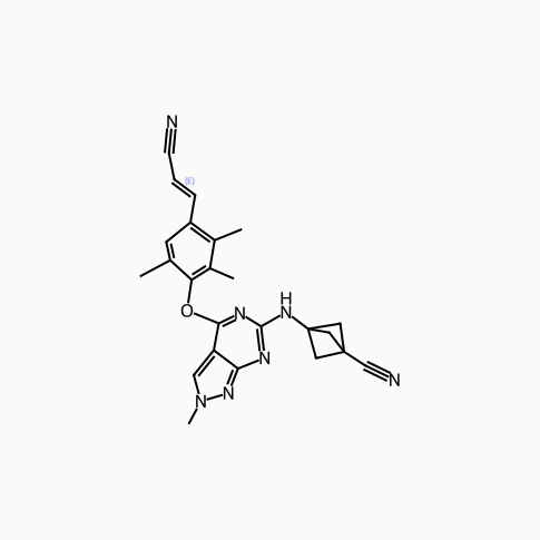 Cc1cc(/C=C/C#N)c(C)c(C)c1Oc1nc(NC23CC(C#N)(C2)C3)nc2nn(C)cc12